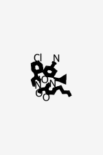 CCCCc1cc(=O)c(C(=O)N2CCC(c3ccc(Cl)cc3)C2)c(O)n1[C@@H](c1cccc(C#N)c1)C1CC1